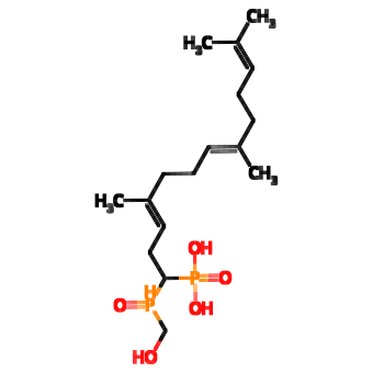 CC(C)=CCCC(C)=CCCC(C)=CCC([PH](=O)CO)P(=O)(O)O